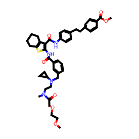 COCCOCC(=O)N(C)CCN(Cc1cccc(C(=O)Nc2sc3c(c2C(=O)Nc2ccc(CCc4ccc(C(=O)OC)cc4)cc2)CCCC3)c1)C1CC1